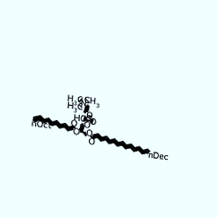 CCCCCCCC/C=C\CCCCCCCC(=O)O[C@H](COC(=O)CCCCCCCCCCCCCCCCCCCCCCC)COP(=O)(O)OCC[N+](C)(C)C